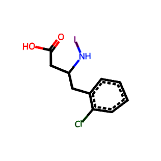 O=C(O)CC(Cc1ccccc1Cl)NI